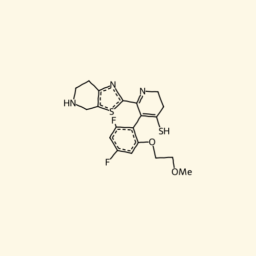 COCCOc1cc(F)cc(F)c1C1=C(S)CCN=C1c1nc2c(s1)CNCC2